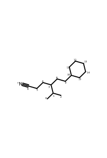 CC(C)C(CCC#N)CCC1CCCCC1